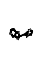 c1cc2sc(-c3nccs3)nc2cn1